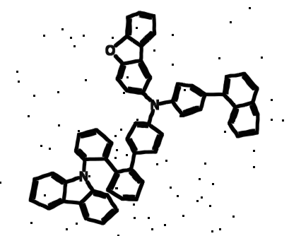 c1ccc(-c2ccccc2-n2c3ccccc3c3ccccc32)c(-c2ccc(N(c3ccc(-c4cccc5ccccc45)cc3)c3ccc4oc5ccccc5c4c3)cc2)c1